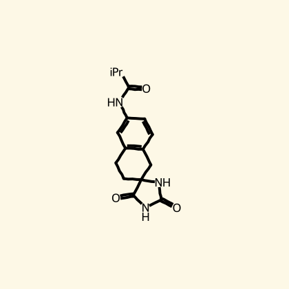 CC(C)C(=O)Nc1ccc2c(c1)CCC1(C2)NC(=O)NC1=O